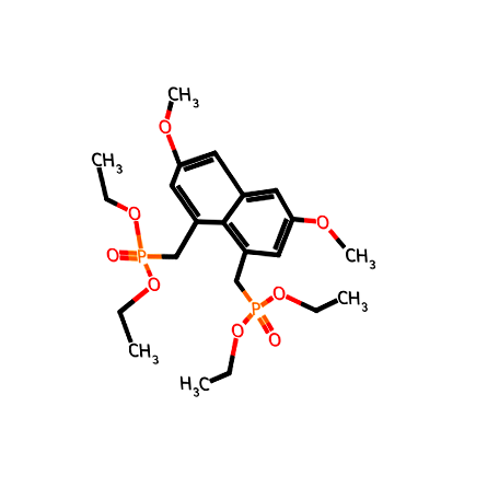 CCOP(=O)(Cc1cc(OC)cc2cc(OC)cc(CP(=O)(OCC)OCC)c12)OCC